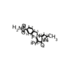 Cc1cc2n(Cc3ccc(S(N)(=O)=O)cc3F)cc(C(C)C)c(=O)n2n1